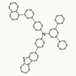 c1ccc(-c2cc(-c3ccccc3)cc(N(c3ccc(-c4cccc(-c5cccc6ccccc56)c4)cc3)c3ccc(-c4ccc5c(c4)sc4ccccc45)cc3)c2)cc1